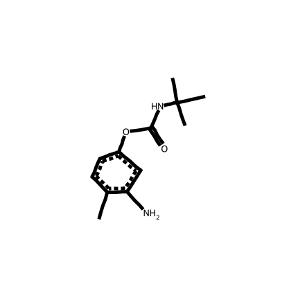 Cc1ccc(OC(=O)NC(C)(C)C)cc1N